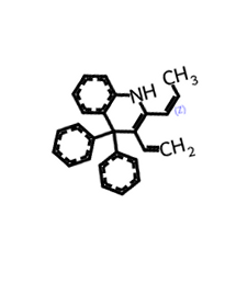 C=CC1=C(/C=C\C)Nc2ccccc2C1(c1ccccc1)c1ccccc1